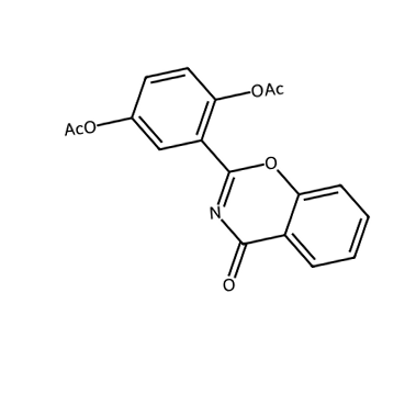 CC(=O)Oc1ccc(OC(C)=O)c(-c2nc(=O)c3ccccc3o2)c1